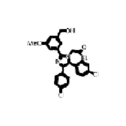 CCC(=O)CN1C(c2cc(CO)cc(OC)c2)=NC(c2ccc(Cl)cc2)C1c1ccc(Cl)cc1